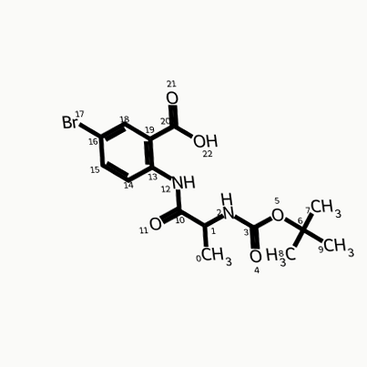 CC(NC(=O)OC(C)(C)C)C(=O)Nc1ccc(Br)cc1C(=O)O